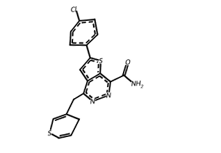 NC(=O)c1nnc(CC2=CSC=CC2)c2cc(-c3ccc(Cl)cc3)sc12